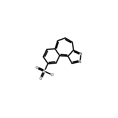 O=S(=O)(Cl)c1ccc2cccc3nncc-3c2c1